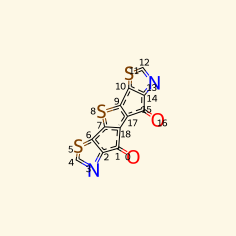 O=c1c2ncsc2c2sc3c4scnc4c(=O)c3c12